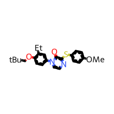 CCc1cc(-n2ccnc(Sc3ccc(OC)cc3)c2=O)ccc1OCC(C)(C)C